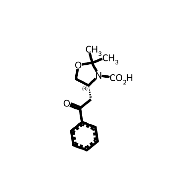 CC1(C)OC[C@@H](CC(=O)c2ccccc2)N1C(=O)O